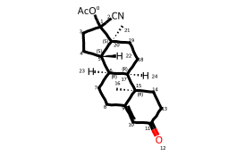 CC(=O)OC1(C#N)CC[C@H]2[C@@H]3CCC4=CC(=O)CC[C@]4(C)[C@@H]3CC[C@@]21C